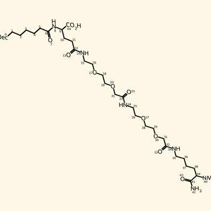 CCCCCCCCCCCCCCCC(=O)NC(CCC(=O)NCCOCCOCC(=O)NCCOCCOCC(=O)NCCCCC(NC)C(N)=O)C(=O)O